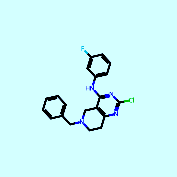 Fc1cccc(Nc2nc(Cl)nc3c2CN(Cc2ccccc2)CC3)c1